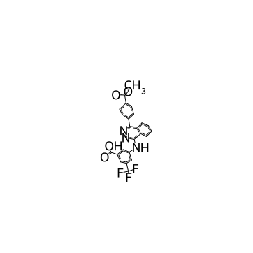 COC(=O)c1ccc(-c2nnc(Nc3cc(C(=O)O)cc(C(F)(F)F)c3)c3ccccc23)cc1